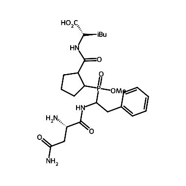 CC[C@H](C)[C@H](NC(=O)C1CCCC1P(=O)(OC)C(Cc1ccccc1)NC(=O)[C@@H](N)CC(N)=O)C(=O)O